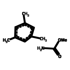 COC(N)=O.Cc1cc(C)cc(C)c1